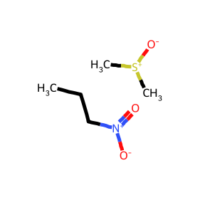 CCC[N+](=O)[O-].C[S+](C)[O-]